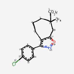 CC1(C(=O)O)CCCc2c(-c3ccc(Cl)cc3)noc2C1